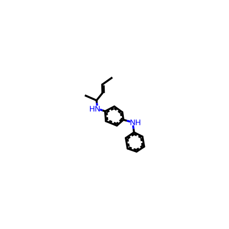 C/C=C/C(C)Nc1ccc(Nc2ccccc2)cc1